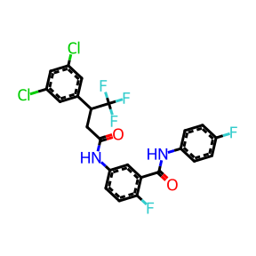 O=C(CC(c1cc(Cl)cc(Cl)c1)C(F)(F)F)Nc1ccc(F)c(C(=O)Nc2ccc(F)cc2)c1